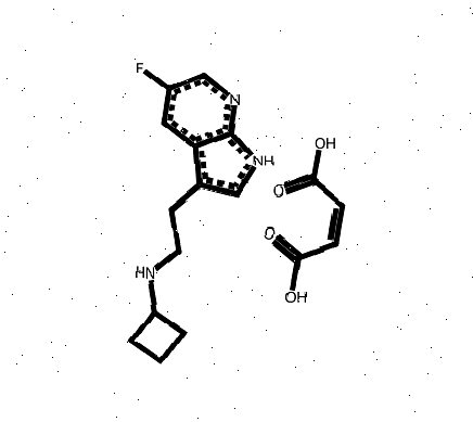 Fc1cnc2[nH]cc(CCNC3CCC3)c2c1.O=C(O)/C=C\C(=O)O